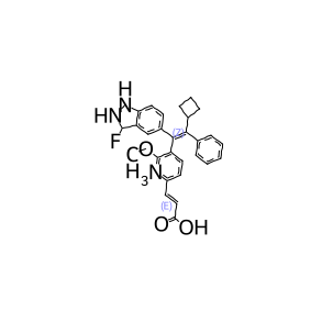 COc1nc(/C=C/C(=O)O)ccc1/C(=C(\c1ccccc1)C1CCC1)c1ccc2c(c1)C(F)NN2